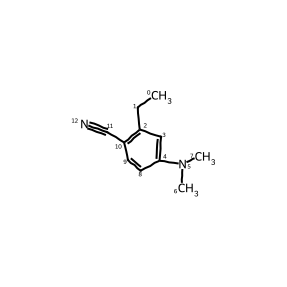 CCc1cc(N(C)C)ccc1C#N